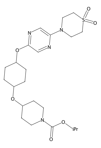 CC(C)OC(=O)N1CCC(OC2CCC(Oc3cnc(N4CCS(=O)(=O)CC4)cn3)CC2)CC1